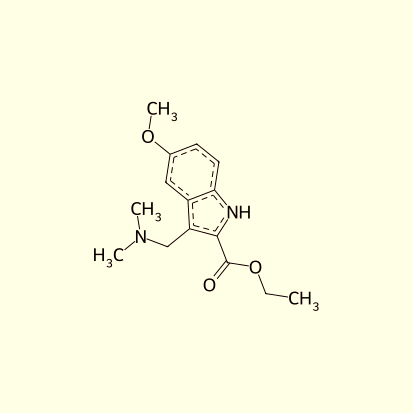 CCOC(=O)c1[nH]c2ccc(OC)cc2c1CN(C)C